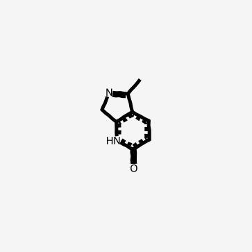 CC1=NCc2[nH]c(=O)ccc21